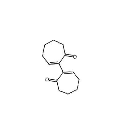 O=C1CCCCC=C1C1=CCCCCC1=O